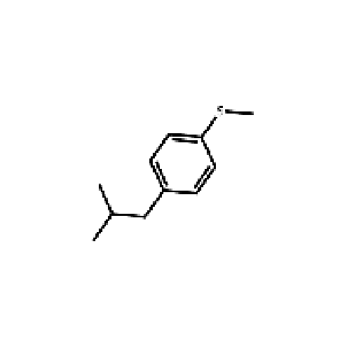 CSc1ccc(CC(C)C)cc1